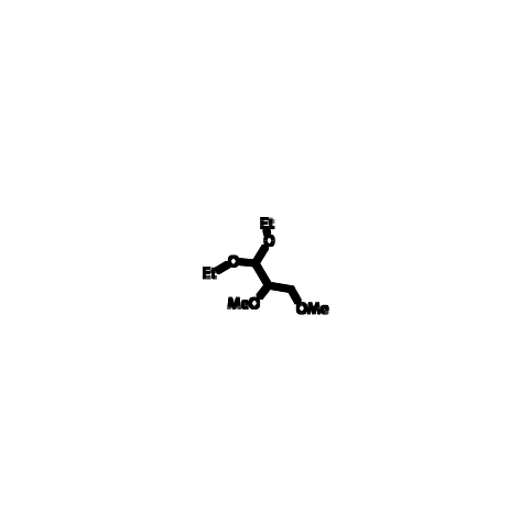 CCOC(OCC)C(COC)OC